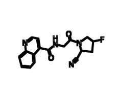 N#CC1CC(F)CN1C(=O)CNC(=O)c1ccnc2ccccc12